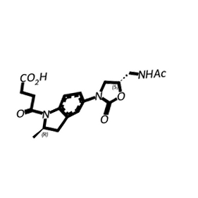 CC(=O)NC[C@H]1CN(c2ccc3c(c2)C[C@@H](C)N3C(=O)CCC(=O)O)C(=O)O1